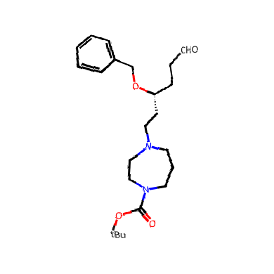 CC(C)(C)OC(=O)N1CCCN(CC[C@@H](CCC=O)OCc2ccccc2)CC1